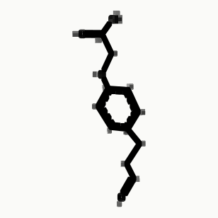 O=[C]CCc1ccc(OCC(=O)O)cc1